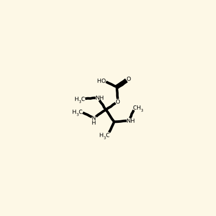 CNC(C)C(NC)(NC)OC(=O)O